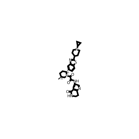 C[C@H]1CC[C@H](c2ccc3sc(C4CCN(C5CC5)CC4)nc3c2)N(C(=O)C(=O)Nc2cnc3c(c2)C(=O)NCC3)C1